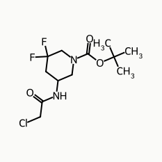 CC(C)(C)OC(=O)N1CC(NC(=O)CCl)CC(F)(F)C1